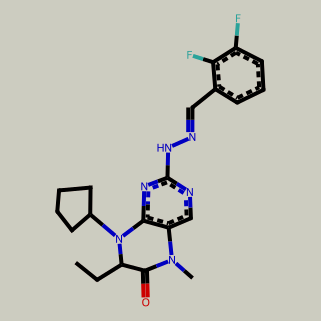 CCC1C(=O)N(C)c2cnc(NN=Cc3cccc(F)c3F)nc2N1C1CCCC1